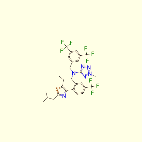 CCc1sc(CC(C)C)nc1-c1ccc(C(F)(F)F)cc1CN(Cc1cc(C(F)(F)F)cc(C(F)(F)F)c1)c1nnn(C)n1